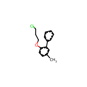 Cc1ccc(OCCCCl)c(-c2ccccc2)c1